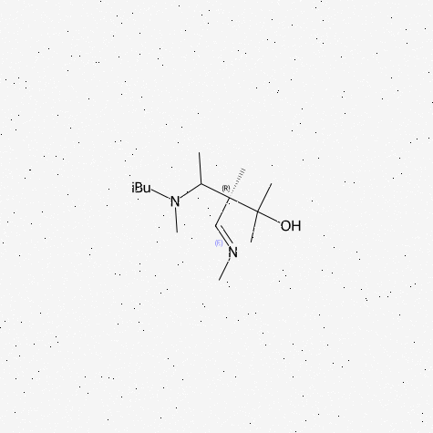 CCC(C)N(C)C(C)[C@](C)(/C=N/C)C(C)(C)O